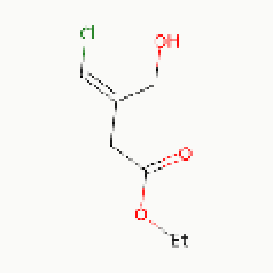 CCOC(=O)CC(=CCl)CO